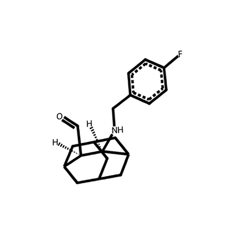 O=C[C@@H]1C2CC3CC(C2)CC(C3)[C@@H]1NCc1ccc(F)cc1